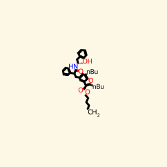 C=CCCCCOC(=O)c1c(CCCC)oc2c(CCCC)cc(CC(C(=O)N[C@@H](CO)Cc3ccccc3)c3ccccc3)cc12